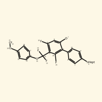 CCCCCCCc1ccc(-c2c([O])cc(F)c(C(F)(F)Oc3ccc(OC(F)(F)F)cc3)c2F)cc1